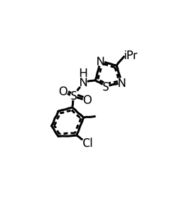 Cc1c(Cl)cccc1S(=O)(=O)Nc1nc(C(C)C)ns1